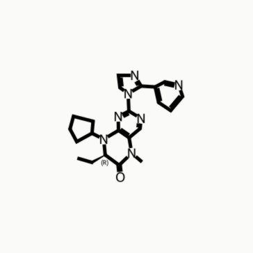 CC[C@@H]1C(=O)N(C)c2cnc(-n3ccnc3-c3cccnc3)nc2N1C1CCCC1